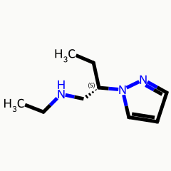 CCNC[C@H](CC)n1cccn1